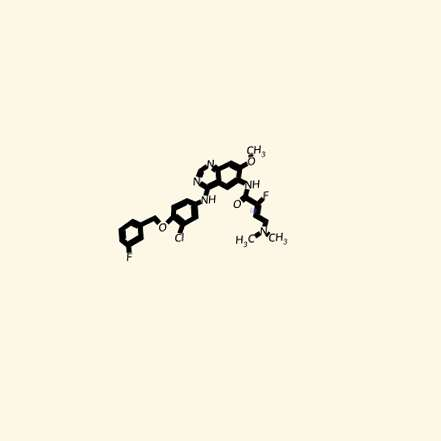 COc1cc2ncnc(Nc3ccc(OCc4cccc(F)c4)c(Cl)c3)c2cc1NC(=O)/C(F)=C/CN(C)C